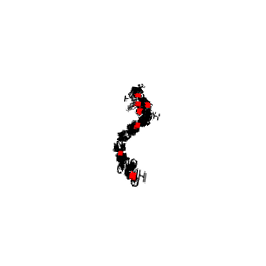 O=C1CC[C@H](N2Cc3cc(C4CCN(CC5CCN(c6ccc(-c7cnc8[nH]cc(C(=O)c9c(F)ccc(NS(=O)(=O)N%10CC[C@@H](F)C%10)c9C(F)(F)F)c8c7)cc6)CC5)CC4)ccc3C2=O)C(=O)N1